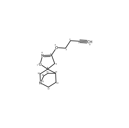 C#CCCOC1=NOC2(C1)CN1CCC2CC1